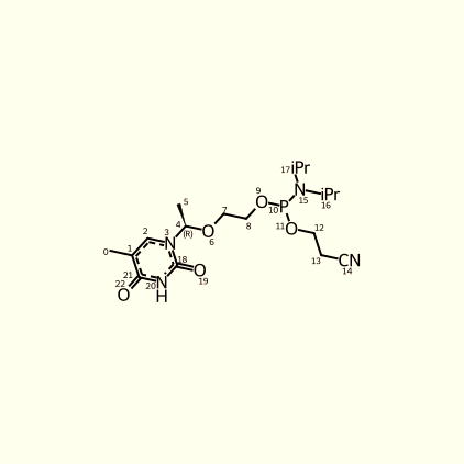 Cc1cn([C@@H](C)OCCOP(OCCC#N)N(C(C)C)C(C)C)c(=O)[nH]c1=O